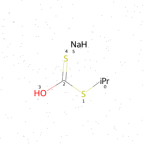 CC(C)SC(O)=S.[NaH]